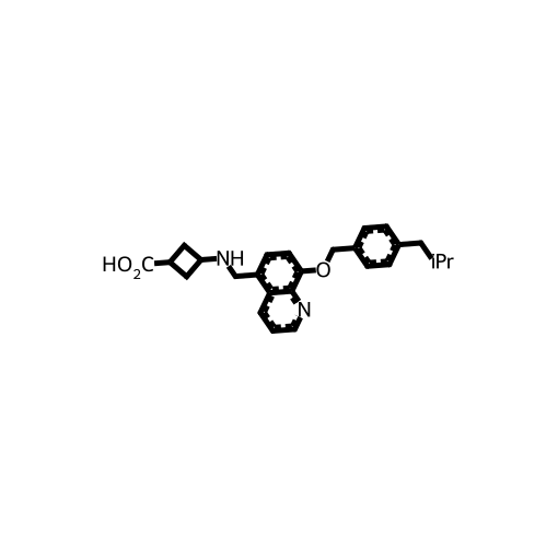 CC(C)Cc1ccc(COc2ccc(CNC3CC(C(=O)O)C3)c3cccnc23)cc1